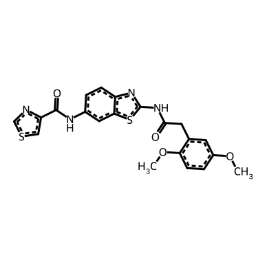 COc1ccc(OC)c(CC(=O)Nc2nc3ccc(NC(=O)c4cscn4)cc3s2)c1